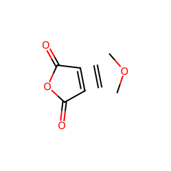 C=C.COC.O=C1C=CC(=O)O1